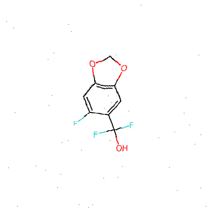 OC(F)(F)c1cc2c(cc1F)OCO2